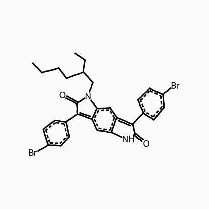 CCCCC(CC)CN1C(=O)C(c2ccc(Br)cc2)=c2cc3c(cc21)=C(c1ccc(Br)cc1)C(=O)N3